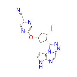 CC[C@H]1C[C@@H](Oc2cnc(C#N)cn2)C[C@H]1c1nnc2cnc3[nH]ccc3n12